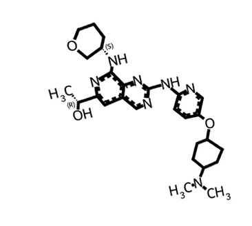 C[C@@H](O)c1cc2cnc(Nc3ccc(OC4CCC(N(C)C)CC4)cn3)nc2c(N[C@H]2CCCOC2)n1